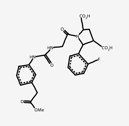 COC(=O)Cc1cccc(NC(=O)NCC(=O)N2C(C(=O)O)CC(C(=O)O)C2c2ccccc2F)c1